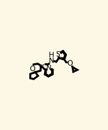 c1ccc([C@]2(CCNCc3sccc3COC3CC3)CCOC3(CCCC3)C2)nc1